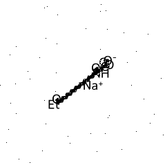 CCC(=O)CCCCCCCCCCCCCCCCNC(=O)CCOS(=O)(=O)[O-].[Na+]